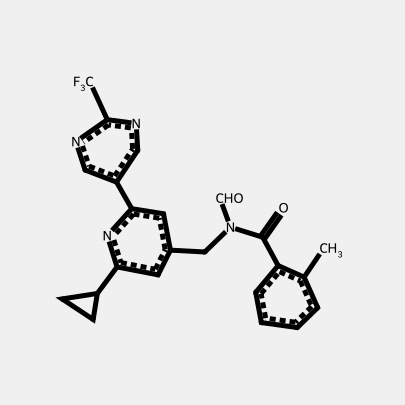 Cc1ccccc1C(=O)N(C=O)Cc1cc(-c2cnc(C(F)(F)F)nc2)nc(C2CC2)c1